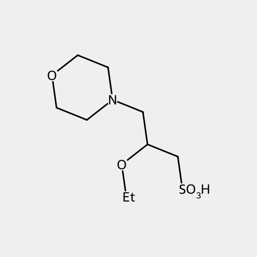 CCOC(CN1CCOCC1)CS(=O)(=O)O